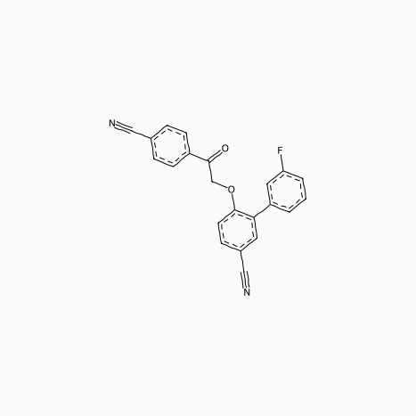 N#Cc1ccc(C(=O)COc2ccc(C#N)cc2-c2cccc(F)c2)cc1